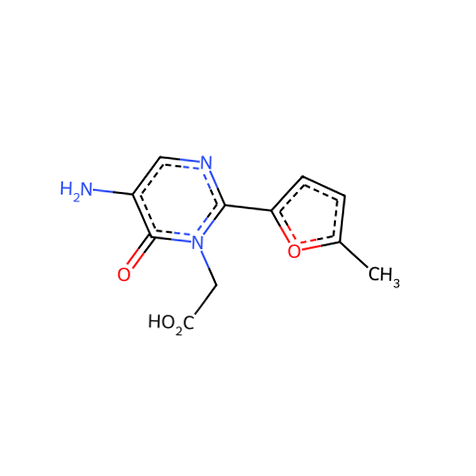 Cc1ccc(-c2ncc(N)c(=O)n2CC(=O)O)o1